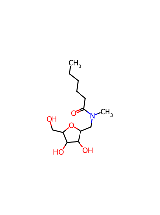 CCCCCC(=O)N(C)CC1OC(CO)C(O)C1O